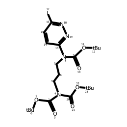 CC(C)(C)OC(=O)N(CCCN(C(=O)OC(C)(C)C)c1ccc(I)nn1)C(=O)OC(C)(C)C